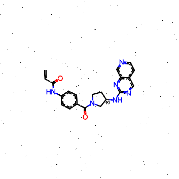 C=CC(=O)Nc1ccc(C(=O)N2CC[C@@H](Nc3ncc4ccncc4n3)C2)cc1